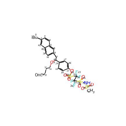 CCC(C)c1ccc2cc(CC(OCCCC=O)c3ccc(OS(=O)(=O)C(F)(F)C(F)(F)S(=O)(=O)NS(C)(=O)=O)cc3)ccc2c1